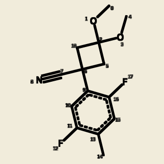 COC1(OC)CC(C#N)(c2cc(F)c(C)cc2F)C1